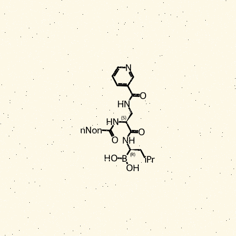 CCCCCCCCCC(=O)N[C@@H](CNC(=O)c1cccnc1)C(=O)N[C@@H](CC(C)C)B(O)O